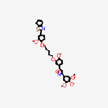 COc1cc(-c2nc3ccccc3s2)ccc1OCCCCCOc1cc(-c2cc(-c3cc(OC)c(OC)c(OC)c3)no2)ccc1OC